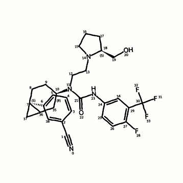 N#Cc1cccc([C@]23CC[C@@H](N(CCN4CCC[C@H]4CO)C(=O)Nc4ccc(F)c(C(F)(F)F)c4)CC2C3)c1